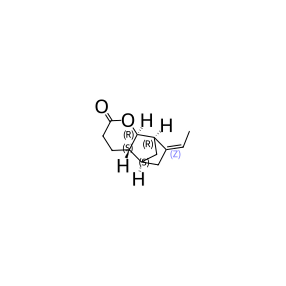 C/C=C1/C[C@@H]2C[C@H]1[C@@H]1OC(=O)CC[C@@H]21